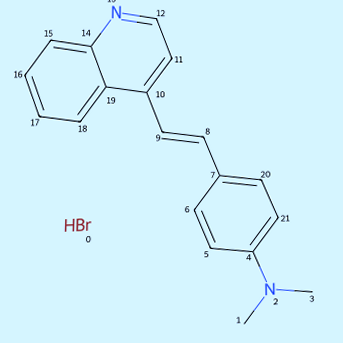 Br.CN(C)c1ccc(/C=C/c2ccnc3ccccc23)cc1